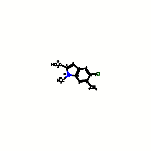 Cc1cc2c(cc1Cl)cc(C(=O)O)n2C